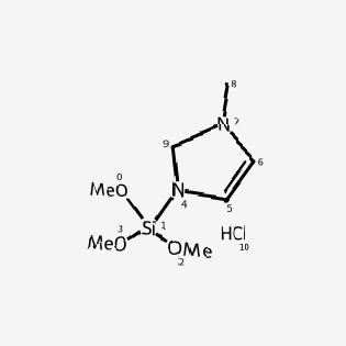 CO[Si](OC)(OC)N1C=CN(C)C1.Cl